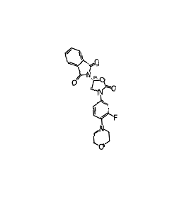 O=C1O[C@@H](N2C(=O)c3ccccc3C2=O)CN1c1ccc(N2CCOCC2)c(F)c1